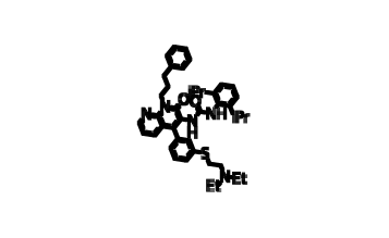 CCN(CC)CCSc1cccc(-c2c(NC(=O)Nc3c(C(C)C)cccc3C(C)C)c(=O)n(CCCc3ccccc3)c3ncccc23)c1